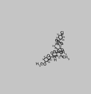 COc1ccc2oc(C(=O)N[C@@H](CC(C)C)C(=O)NC3CCCN(S(=O)(=O)c4ccc(Cl)cc4)CC3=O)cc2c1